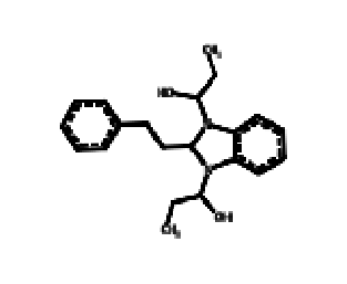 CCC(O)N1c2ccccc2N(C(O)CC)C1CCc1ccccc1